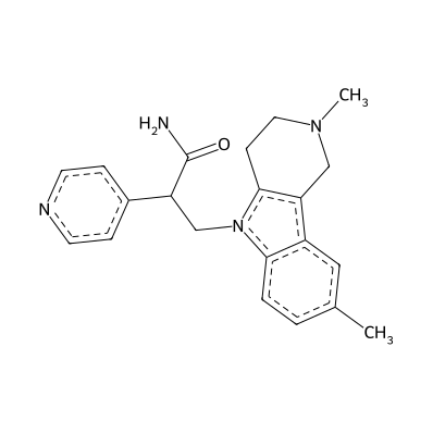 Cc1ccc2c(c1)c1c(n2CC(C(N)=O)c2ccncc2)CCN(C)C1